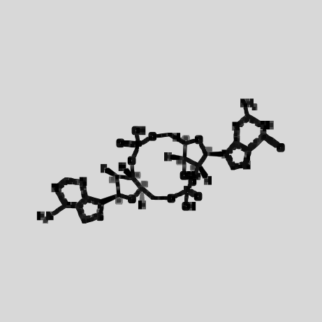 CO[C@H]1[C@H]2OP(=O)(O)OC[C@H]3O[C@@H](c4scc5c(N)ncnc45)[C@@H](F)[C@@H]3OP(=O)(O)OC[C@H]1O[C@H]2n1cnc2c(=O)[nH]c(N)nc21